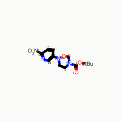 CC(C)(C)OC(=O)N1CCN(c2ccc([N+](=O)[O-])nc2)OC1